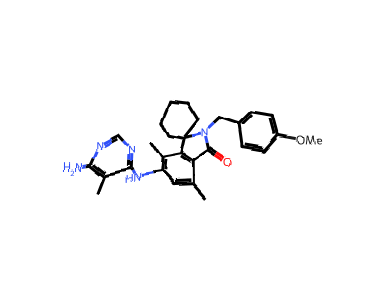 COc1ccc(CN2C(=O)c3c(C)cc(Nc4ncnc(N)c4C)c(C)c3C23CCCCC3)cc1